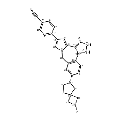 CN1CC2(CCN(c3ccc4c(c3)Cn3cc(-c5ccc(C#N)cc5)cc3C3=NNNN34)C2)C1